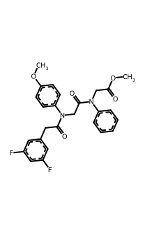 COC(=O)CN(C(=O)CN(C(=O)Cc1cc(F)cc(F)c1)c1ccc(OC)cc1)c1ccccc1